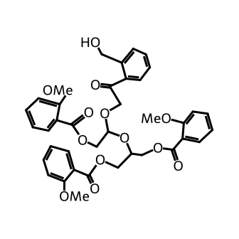 COc1ccccc1C(=O)OCC(COC(=O)c1ccccc1OC)OC(COC(=O)c1ccccc1OC)OCC(=O)c1ccccc1CO